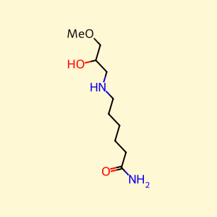 COCC(O)CNCCCCCC(N)=O